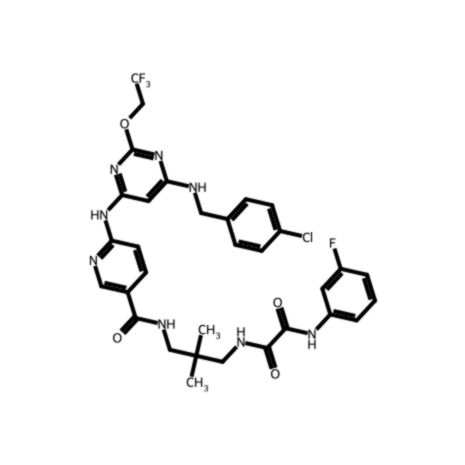 CC(C)(CNC(=O)C(=O)Nc1cccc(F)c1)CNC(=O)c1ccc(Nc2cc(NCc3ccc(Cl)cc3)nc(OCC(F)(F)F)n2)nc1